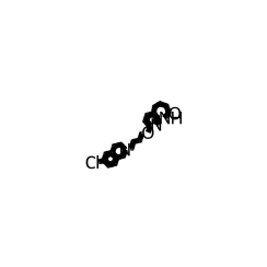 O=C1CCCc2ccc(OCCCCN3CCc4cc(Cl)ccc4C3)nc2N1